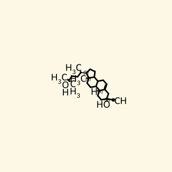 C#C[C@]1(O)CC[C@H]2C(=CCC3C2CC[C@@]2(C)C3CC[C@@H]2C(C)CCC(C)(C)O)C1